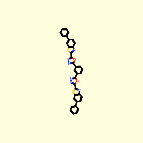 c1ccc(-c2ccc3nc(-c4nnc(-c5cccc(-c6nnc(-c7nc8ccc(-c9ccccc9)cc8s7)o6)c5)o4)sc3c2)cc1